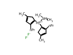 CCCC1=[C]([Hf+2]([C]2=C(CCC)C=C(C)C2)[SiH](C)C)CC(C)=C1.[F-].[F-]